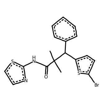 CC(C)(C(=O)Nc1nccs1)C(c1ccccc1)c1ccc(Br)s1